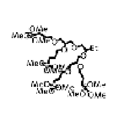 CCC(COCC(COCCC[Si](OC)(OC)OC)OCCC[Si](OC)(OC)OC)OCC(COCCC[Si](OC)(OC)OC)OCCC[Si](OC)(OC)OC